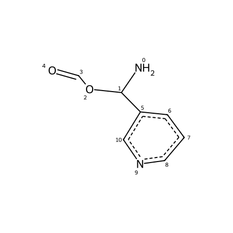 NC(OC=O)c1cccnc1